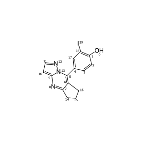 Oc1ccc(-c2c3c(nc4ccnn24)CCC3)cc1I